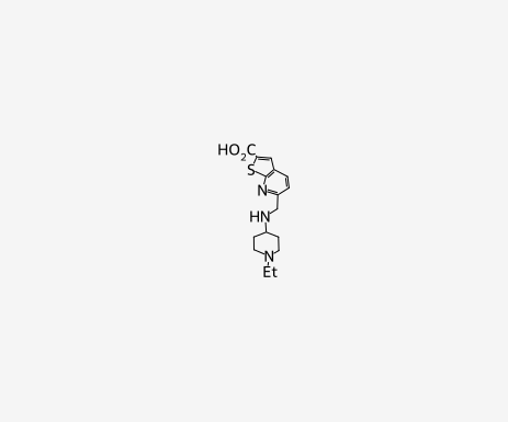 CCN1CCC(NCc2ccc3cc(C(=O)O)sc3n2)CC1